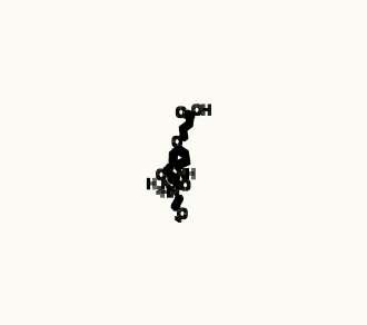 COCCNC(=O)C(N)(Nc1ccc(OCCCC(=O)O)cc1)C(C)=O